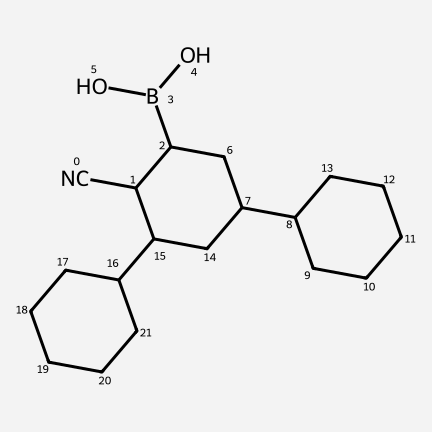 N#CC1C(B(O)O)CC(C2CCCCC2)CC1C1CCCCC1